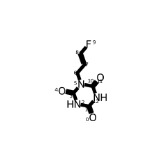 O=c1[nH]c(=O)n(CC=CF)c(=O)[nH]1